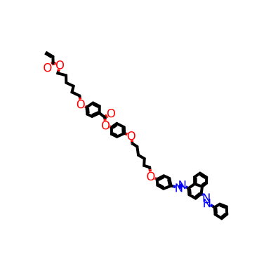 C=CC(=O)OCCCCCCOc1ccc(C(=O)Oc2ccc(OCCCCCCOc3ccc(N=Nc4ccc(N=Nc5ccccc5)c5ccccc45)cc3)cc2)cc1